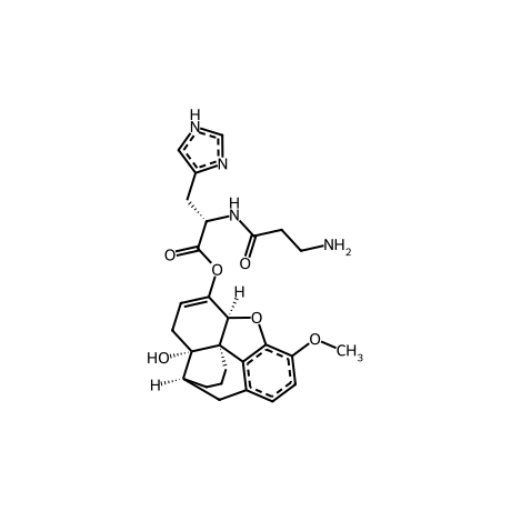 COc1ccc2c3c1O[C@@H]1C(OC(=O)[C@H](Cc4c[nH]cn4)NC(=O)CCN)=CC[C@]4(O)[C@@H](CCC[C@@]314)C2